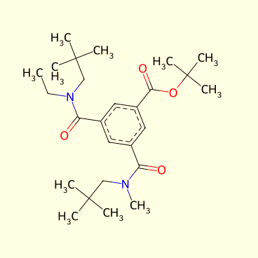 CCN(CC(C)(C)C)C(=O)c1cc(C(=O)OC(C)(C)C)cc(C(=O)N(C)CC(C)(C)C)c1